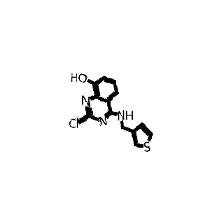 Oc1cccc2c(NCc3ccsc3)nc(Cl)nc12